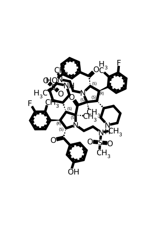 Cc1c(F)cccc1[C@@H]1[C@@H](C(=O)c2cccc(O)c2)N(CCN(C)S(C)(=O)=O)[C@](C)(C(=O)[C@]2(C)[C@@H](C3CCCNC3)[C@H](c3cccc(F)c3C)[C@@H](C(=O)c3cccc(O)c3)N2CCN(C)S(C)(=O)=O)[C@H]1C1CCCNC1